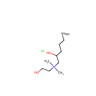 CCCCCCCCCCC(O)C[N+](C)(C)CCO.[Cl-]